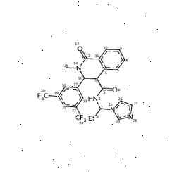 CCC(NC(=O)C1c2ccccc2C(=O)N(C)C1c1cc(C(F)(F)F)cc(C(F)(F)F)c1)n1ccnc1